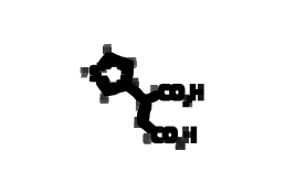 O=C(O)/C=C(\C(=O)O)c1ccsc1